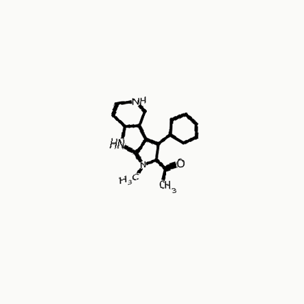 CC(=O)C1C(C2CCCCC2)C2C3CNCCC3NC2N1C